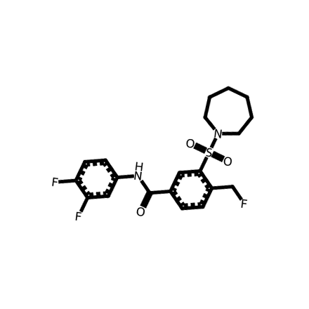 O=C(Nc1ccc(F)c(F)c1)c1ccc(CF)c(S(=O)(=O)N2CCCCCC2)c1